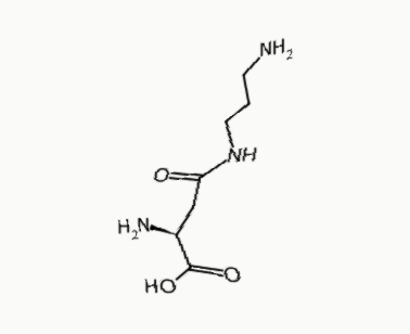 NCCCNC(=O)C[C@H](N)C(=O)O